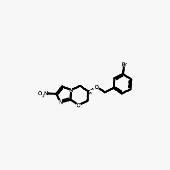 O=[N+]([O-])c1cn2c(n1)OC[C@@H](OCc1cccc(Br)c1)C2